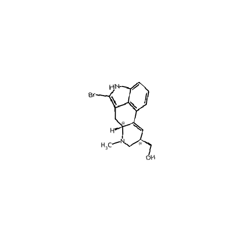 CN1C[C@H](CO)C=C2c3cccc4[nH]c(Br)c(c34)C[C@H]21